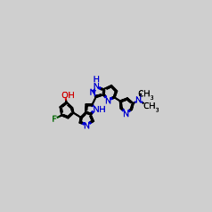 CN(C)c1cncc(-c2ccc3[nH]nc(-c4cc5c(-c6cc(O)cc(F)c6)cncc5[nH]4)c3n2)c1